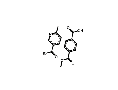 COC(=O)c1ccc(C(=O)O)cc1.Cc1ccc(C(=O)O)cn1